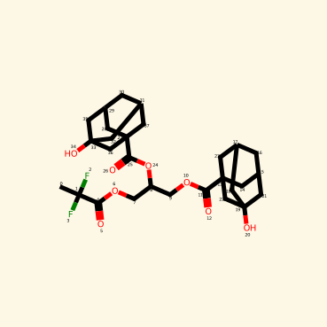 CC(F)(F)C(=O)OCC(COC(=O)C12CC3CC(CC(O)(C3)C1)C2)OC(=O)C12CC3CC(CC(O)(C3)C1)C2